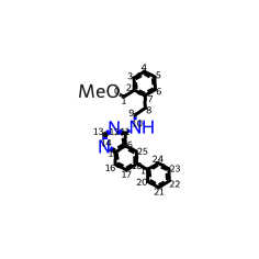 COCc1ccccc1CCNc1ncnc2ccc(-c3ccccc3)cc12